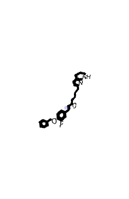 O=C(/C=C/c1ccc(OCc2ccccc2)c(F)c1)CCCCc1ccc2c(n1)NCCC2